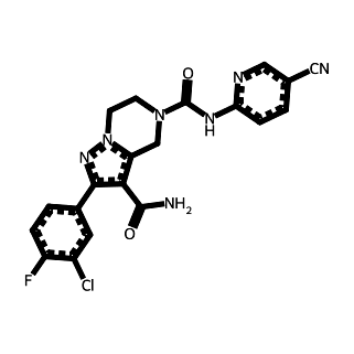 N#Cc1ccc(NC(=O)N2CCn3nc(-c4ccc(F)c(Cl)c4)c(C(N)=O)c3C2)nc1